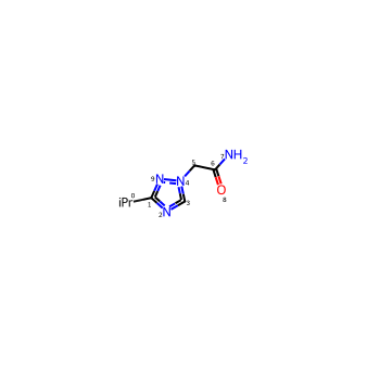 CC(C)c1ncn(CC(N)=O)n1